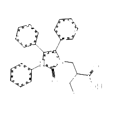 CCC(Cn1c(-c2ccccc2)c(-c2ccccc2)n(-c2ccccc2)c1=O)C(=O)O